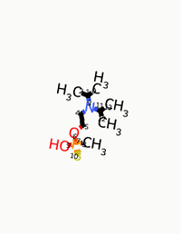 CC(C)N(CCOP(C)(O)=S)C(C)C